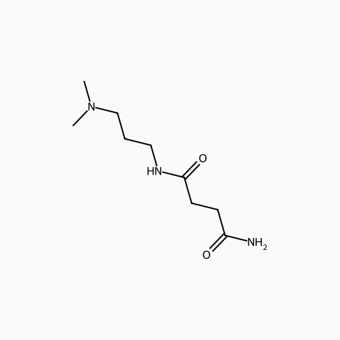 CN(C)CCCNC(=O)CCC(N)=O